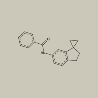 O=C(Nc1ccc2c(c1)C1(CC2)CC1)c1ccccc1